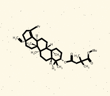 C=C[C@]12CCC(C(C)C)=C1[C@H]1CC[C@@H]3[C@@]4(C)CC[C@H](OC(=O)CC(C)(C)C(=O)OC(C)(C)C)C(C)(C)[C@@H]4CC[C@@]3(C)[C@]1(C)CC2